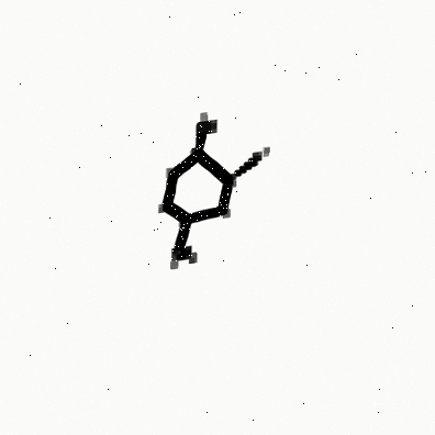 NC1CC[C@@H](O)[C@H](F)C1